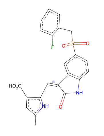 Cc1cc(C(=O)O)c(/C=C2\C(=O)Nc3ccc(S(=O)(=O)Cc4ccccc4F)cc32)[nH]1